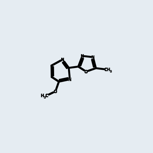 COc1ccnc(-c2nnc(C)o2)n1